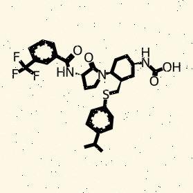 CC(C)c1ccc(SC[C@@H]2C[C@H](NC(=O)O)CC[C@@H]2N2CC[C@H](NC(=O)c3cccc(C(F)(F)F)c3)C2=O)cc1